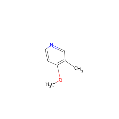 COc1ccn[c]c1C